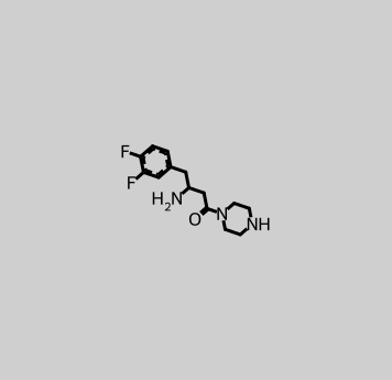 NC(CC(=O)N1CCNCC1)Cc1ccc(F)c(F)c1